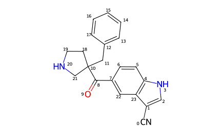 N#Cc1c[nH]c2ccc(C(=O)C3(Cc4ccccc4)CCNC3)cc12